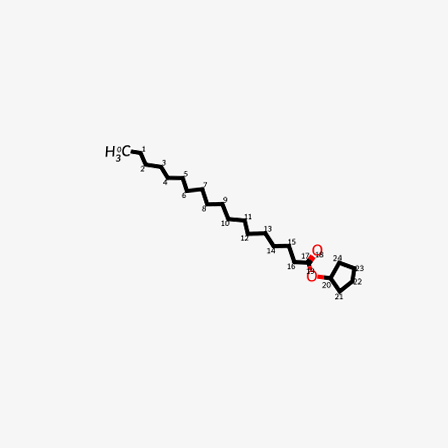 CCCCCCCCCCCCCCCCCC(=O)OC1CCCC1